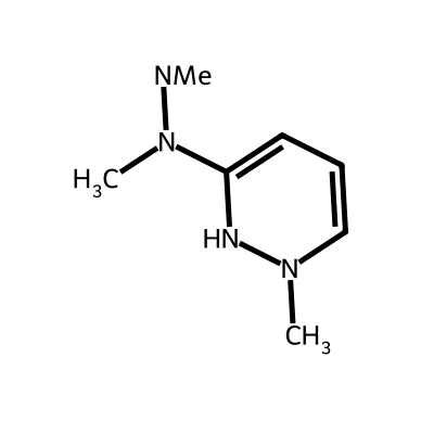 CNN(C)C1=CC=CN(C)N1